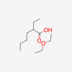 CCCCC(CC)C(=O)O.CCOCC